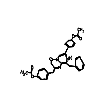 CC(=O)Oc1ccc(CC2=NC3=C(Cc4ccccc4)NC(c4ccc(OC(C)=O)cc4)=CN3OC2)cc1